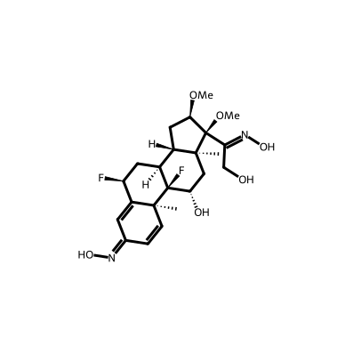 CO[C@@H]1C[C@H]2[C@@H]3C[C@H](F)C4=CC(=NO)C=C[C@]4(C)[C@@]3(F)[C@@H](O)C[C@]2(C)[C@@]1(OC)/C(CO)=N/O